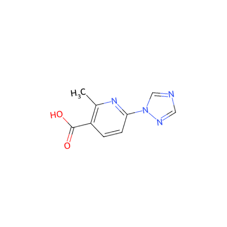 Cc1nc(-n2cncn2)ccc1C(=O)O